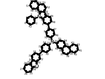 c1ccc(-n2c3cc(-c4ccc(N(c5ccc(-c6ccc7c(c6)oc6ccccc67)cc5)c5ccc6c(ccc7ccccc76)c5)cc4)ccc3c3ccc4ccccc4c32)cc1